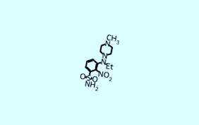 CCN(c1cccc(S(N)(=O)=O)c1[N+](=O)[O-])N1CCN(C)CC1